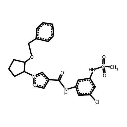 CS(=O)(=O)Nc1cc(Cl)cc(NC(=O)c2cnn(C3CCCC3OCc3ccccc3)c2)c1